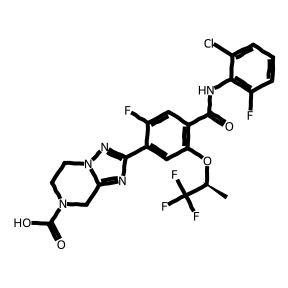 C[C@H](Oc1cc(-c2nc3n(n2)CCN(C(=O)O)C3)c(F)cc1C(=O)Nc1c(F)cccc1Cl)C(F)(F)F